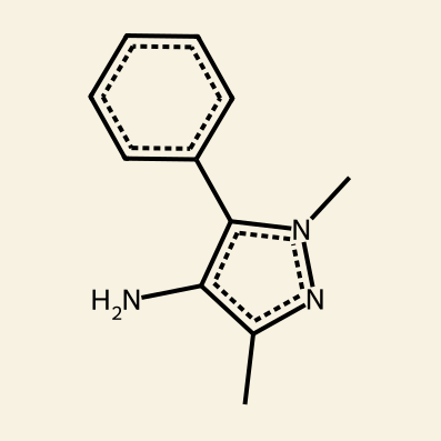 Cc1nn(C)c(-c2ccccc2)c1N